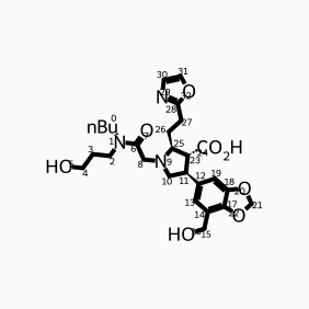 CCCCN(CCCO)C(=O)CN1C[C@H](c2cc(CO)c3c(c2)OCO3)[C@@H](C(=O)O)[C@@H]1CCc1ncco1